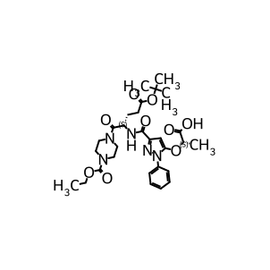 CCOC(=O)N1CCN(C(=O)[C@H](CCC(=O)OC(C)(C)C)NC(=O)c2cc(O[C@@H](C)C(=O)O)n(-c3ccccc3)n2)CC1